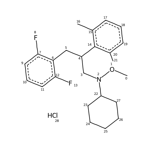 CON(CC(Cc1c(F)cccc1F)c1c(C)cccc1C)C1CCCCC1.Cl